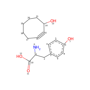 NC(Cc1ccc(O)cc1)C(=O)O.OC1C#CCCCCC1